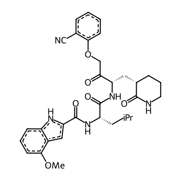 COc1cccc2[nH]c(C(=O)N[C@@H](CC(C)C)C(=O)N[C@@H](C[C@@H]3CCCNC3=O)C(=O)COc3ccccc3C#N)cc12